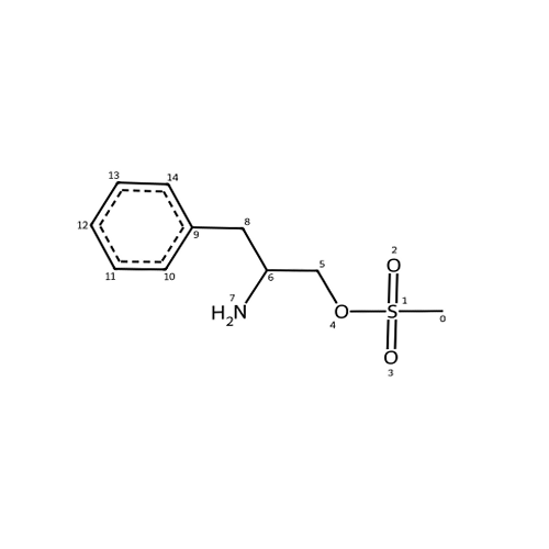 CS(=O)(=O)OCC(N)Cc1ccccc1